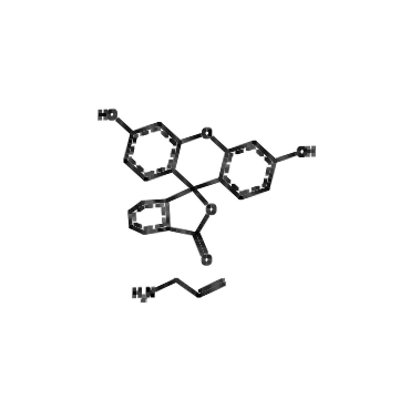 C=CCN.O=C1OC2(c3ccc(O)cc3Oc3cc(O)ccc32)c2ccccc21